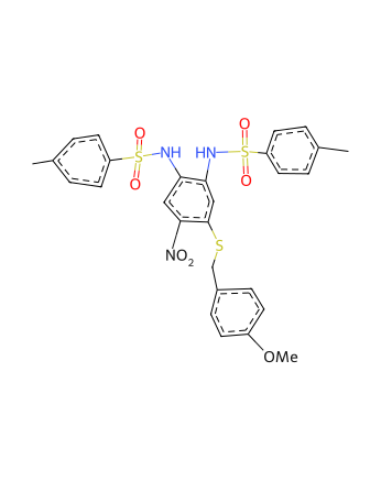 COc1ccc(CSc2cc(NS(=O)(=O)c3ccc(C)cc3)c(NS(=O)(=O)c3ccc(C)cc3)cc2[N+](=O)[O-])cc1